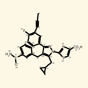 CC#Cc1cc(-c2nn(-c3nc(C(=O)O)cs3)c(CC3CC3)c2Cc2cccc([S+](N)[O-])c2)ccc1F